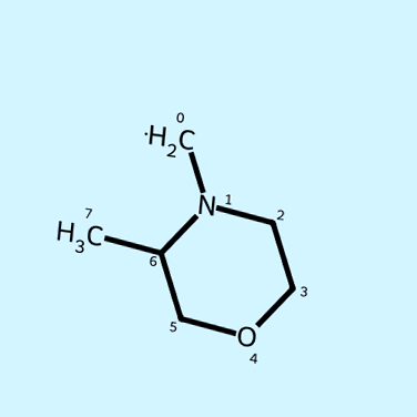 [CH2]N1CCOCC1C